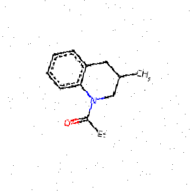 CCC(=O)N1CC(C)Cc2ccccc21